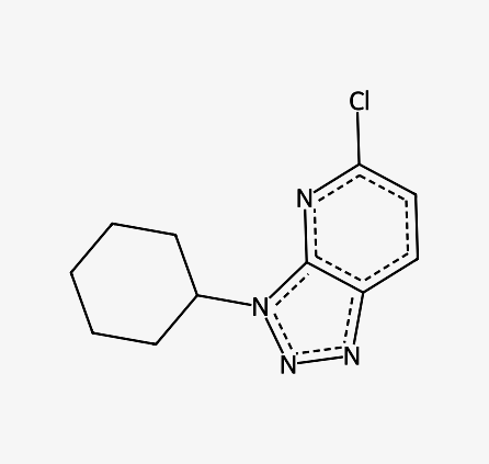 Clc1ccc2nnn(C3CCCCC3)c2n1